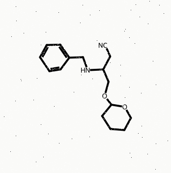 N#CCC(COC1CCCCO1)NCc1ccccc1